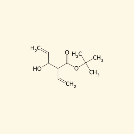 C=CC(O)C(C=C)C(=O)OC(C)(C)C